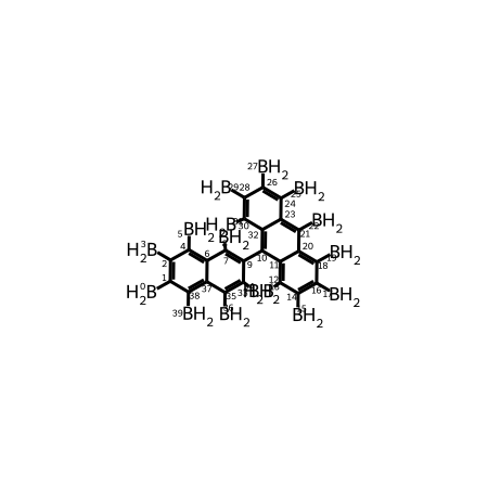 Bc1c(B)c(B)c2c(B)c(-c3c4c(B)c(B)c(B)c(B)c4c(B)c4c(B)c(B)c(B)c(B)c34)c(B)c(B)c2c1B